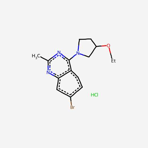 CCOC1CCN(c2nc(C)nc3cc(Br)ccc23)C1.Cl